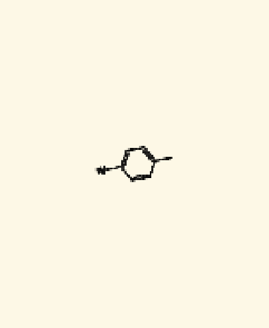 Cc1cc[c]([Al])cc1